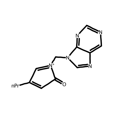 CCCC1=CC(=O)[N+](Cn2cnc3cncnc32)=C1